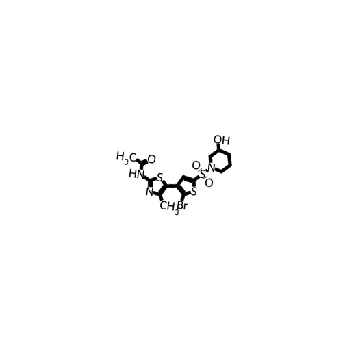 CC(=O)Nc1nc(C)c(-c2cc(S(=O)(=O)N3CCCC(O)C3)sc2Br)s1